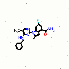 Cc1cc2c(C(N)=O)cc(F)cc2n1-c1ncc(C(F)(F)F)c(NCc2ccccc2)n1